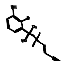 C#C/C=C/C(C)(C)C(O)(O)c1cccc(O)c1Br